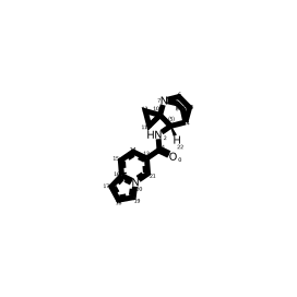 O=C(N[C@H]1C2CCN(CC2)C12CC2)c1ccc2cccn2c1